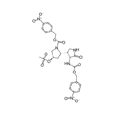 CS(=O)(=O)O[C@@H]1C[C@@H](C2CNC(=O)C2NC(=O)OCc2ccc([N+](=O)[O-])cc2)N(C(=O)OCc2ccc([N+](=O)[O-])cc2)C1